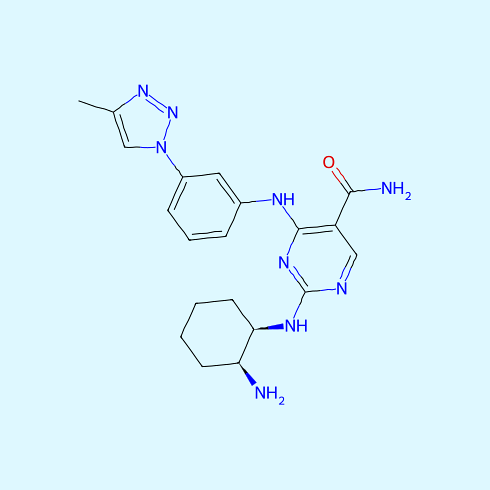 Cc1cn(-c2cccc(Nc3nc(N[C@@H]4CCCC[C@@H]4N)ncc3C(N)=O)c2)nn1